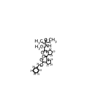 CCP(=O)(CC)N[C@@H](C)C(=O)N1CCC[C@H]1C(=O)N1CCC[C@H]1C(=O)OCc1ccccc1